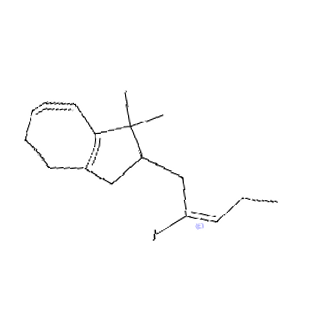 CC/C=C(/I)CC1CC2=C(C=CCC2)C1(C)C